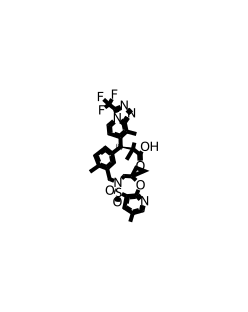 Cc1cnc2c(c1)S(=O)(=O)N(Cc1cc([C@@H](c3ccn4c(C(F)(F)F)nnc4c3C)C(C)(C)C(=O)O)ccc1C)CC1(CC1)O2